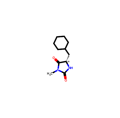 CN1C(=O)N[C@@H](CC2CCCCC2)C1=O